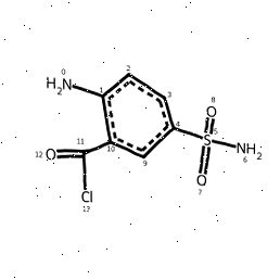 Nc1ccc(S(N)(=O)=O)cc1C(=O)Cl